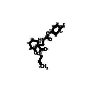 C=CCOC(=O)C1(CNC(=O)Oc2ccc(F)cc2)CCCCC1=O